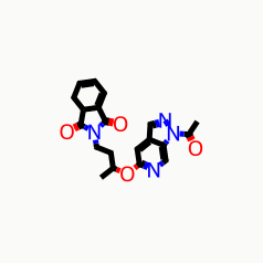 CC(=O)n1ncc2cc(OC(C)CCN3C(=O)C4=CC=CCC4C3=O)ncc21